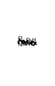 C[C@@H]1[C@@H](NC(=O)c2cc3c(Cl)ccnc3[nH]2)C2C[C@@H]1C(C)(C)C2